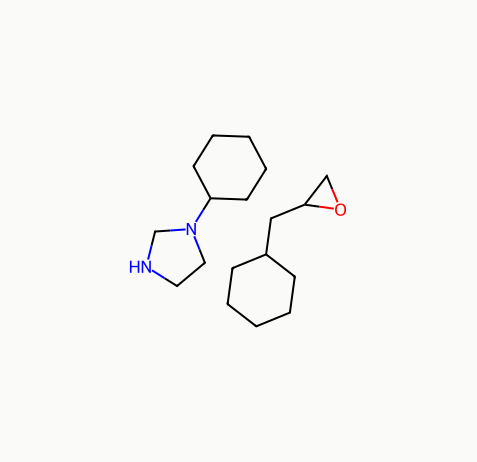 C1CCC(CC2CO2)CC1.C1CCC(N2CCNC2)CC1